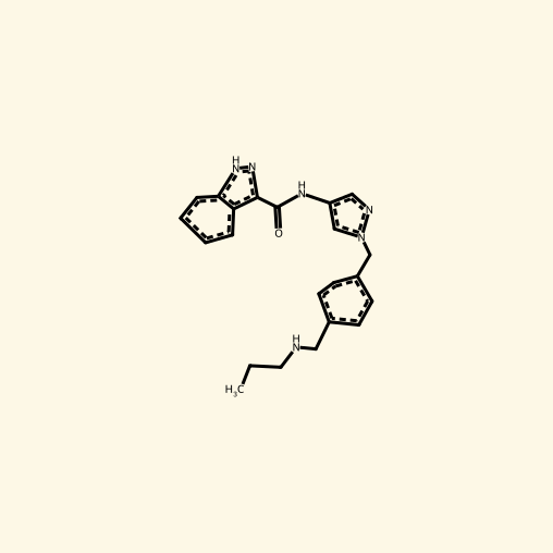 CCCNCc1ccc(Cn2cc(NC(=O)c3n[nH]c4ccccc34)cn2)cc1